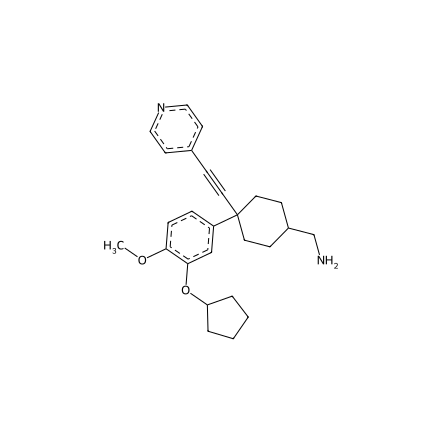 COc1ccc(C2(C#Cc3ccncc3)CCC(CN)CC2)cc1OC1CCCC1